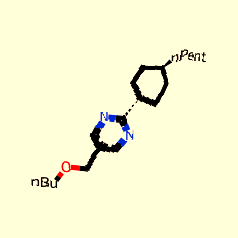 CCCCC[C@H]1CC[C@H](c2ncc(COCCCC)cn2)CC1